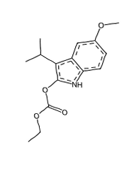 CCOC(=O)Oc1[nH]c2ccc(OC)cc2c1C(C)C